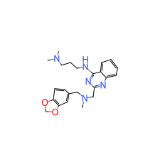 CN(C)CCCNc1nc(CN(C)Cc2ccc3c(c2)OCO3)nc2ccccc12